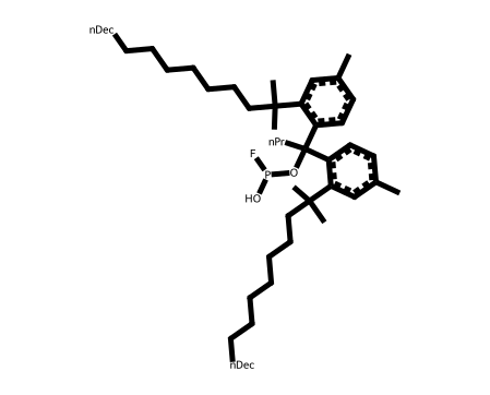 CCCCCCCCCCCCCCCCCC(C)(C)c1cc(C)ccc1C(CCC)(OP(O)F)c1ccc(C)cc1C(C)(C)CCCCCCCCCCCCCCCCC